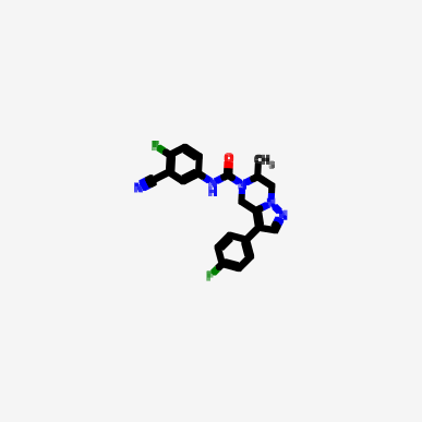 CC1Cn2ncc(-c3ccc(F)cc3)c2CN1C(=O)Nc1ccc(F)c(C#N)c1